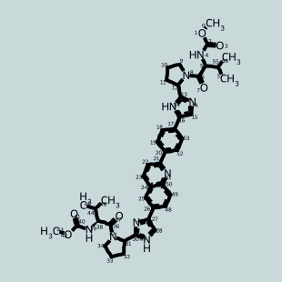 COC(=O)NC(C(=O)N1CCCC1c1ncc(-c2ccc(-c3ccc4cc(-c5c[nH]c(C6CCCN6C(=O)[C@@H](NC(=O)OC)C(C)C)n5)ccc4n3)cc2)[nH]1)C(C)C